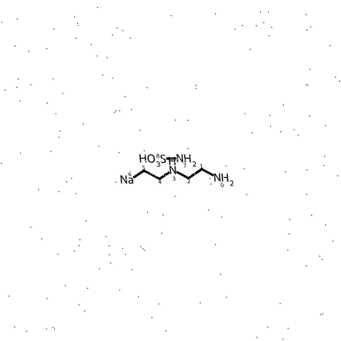 NCCNC[CH2][Na].NS(=O)(=O)O